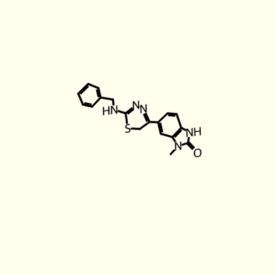 Cn1c(=O)[nH]c2ccc(C3=NN=C(NCc4ccccc4)SC3)cc21